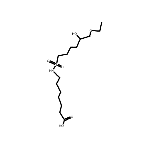 CCOCC(O)CCCCS(=O)(=O)NCCCCCCC(=O)O